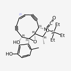 CC[Si](CC)(CC)O[C@H](C)[C@@]12O[C@@]1(c1cc(O)ccc1C)[C@H](O)C#C/C=C\C#C[C@@H]2N=C=O